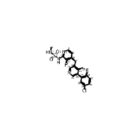 CNS(=O)(=O)Nc1nccc(Cc2cncc(-c3cc(Cl)ccc3F)c2C)c1F